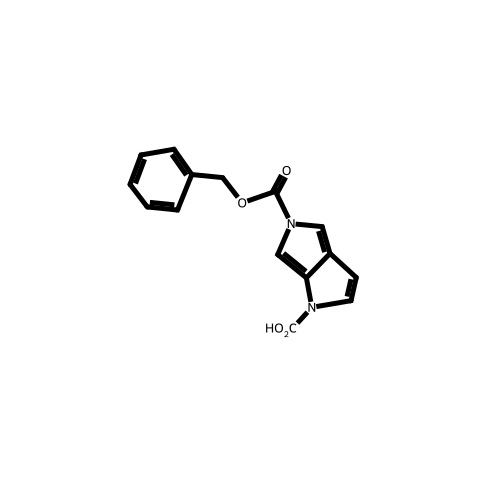 O=C(OCc1ccccc1)n1cc2ccn(C(=O)O)c2c1